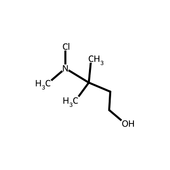 CN(Cl)C(C)(C)CCO